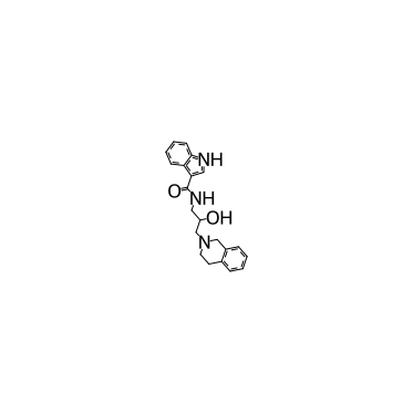 O=C(NCC(O)CN1CCc2ccccc2C1)c1c[nH]c2ccccc12